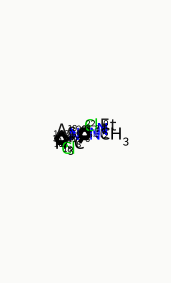 CCN(C)/C=N/c1cc(C)c(N(Cc2ccccc2Cl)C(C)=O)cc1Cl